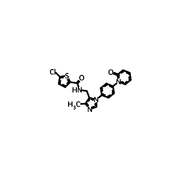 Cc1ncn(-c2ccc(-n3ccccc3=O)cc2)c1CNC(=O)c1ccc(Cl)s1